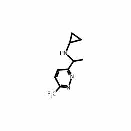 CC(NC1CC1)c1ccc(C(F)(F)F)nn1